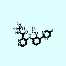 [2H]C([2H])([2H])NC(=O)c1nnccc1Nc1cccc(-c2ncc(F)cn2)c1OC